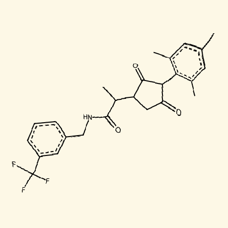 Cc1cc(C)c(C2C(=O)CC(C(C)C(=O)NCc3cccc(C(F)(F)F)c3)C2=O)c(C)c1